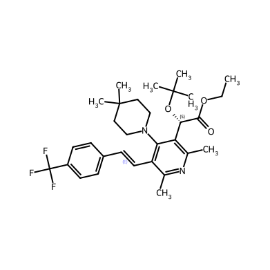 CCOC(=O)[C@@H](OC(C)(C)C)c1c(C)nc(C)c(/C=C/c2ccc(C(F)(F)F)cc2)c1N1CCC(C)(C)CC1